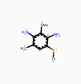 CCSc1cc(C)c(N)c(SC)c1N